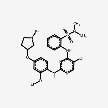 CCOc1cc(OC2CCN(CC)C2)ccc1Nc1ncc(Cl)c(Nc2ccccc2S(=O)(=O)N(C)C)n1